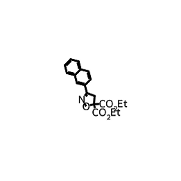 CCOC(=O)C1(C(=O)OCC)CC(c2ccc3ccccc3c2)=NO1